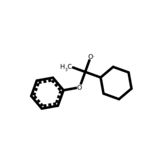 CC([O])(Oc1ccccc1)C1CCCCC1